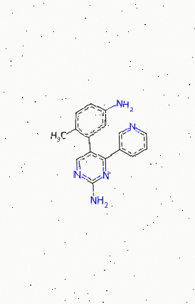 Cc1ccc(N)cc1-c1cnc(N)nc1-c1cccnc1